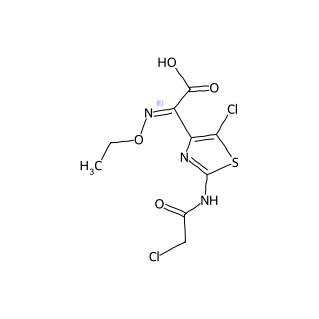 CCO/N=C(/C(=O)O)c1nc(NC(=O)CCl)sc1Cl